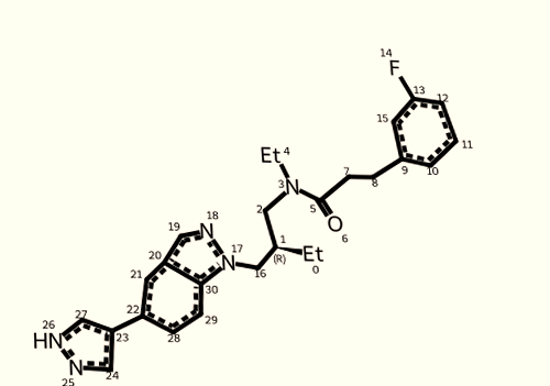 CC[C@H](CN(CC)C(=O)CCc1cccc(F)c1)Cn1ncc2cc(-c3cn[nH]c3)ccc21